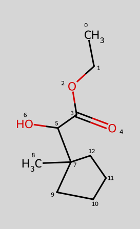 CCOC(=O)C(O)C1(C)CCCC1